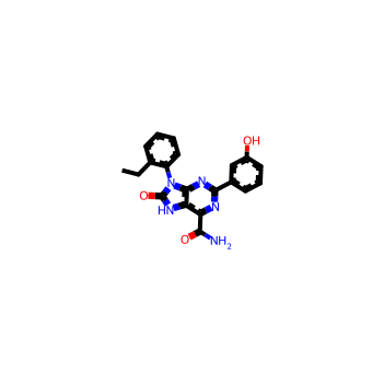 CCc1ccccc1-n1c(=O)[nH]c2c(C(N)=O)nc(-c3cccc(O)c3)nc21